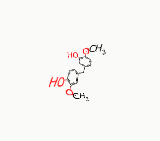 COc1ccc(Cc2ccc(O)c(OC)c2)cc1O